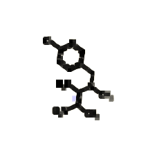 C/C(=C(/N)N(C)Cc1ccc(Cl)nc1)[N+](=O)[O-]